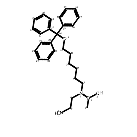 CB(O)N(CCN)CCCCCCSC(c1ccccc1)(c1ccccc1)c1ccccc1